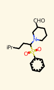 CC(C)CCC(N1CCCC(C=O)C1)S(=O)(=O)c1ccccc1